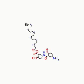 CC/C=C\C/C=C\C/C=C\C/C=C\C/C=C\C/C=C\CC(=O)OC(=O)c1cc(NC(=O)c2cc(N)ccc2O)ccc1O